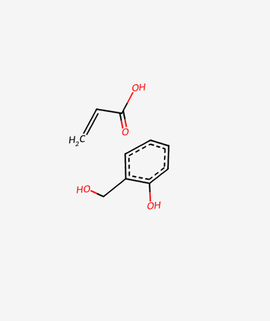 C=CC(=O)O.OCc1ccccc1O